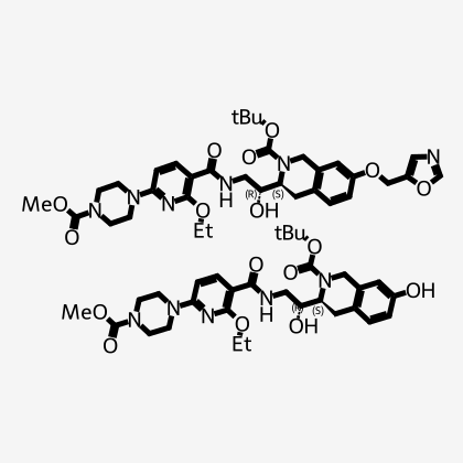 CCOc1nc(N2CCN(C(=O)OC)CC2)ccc1C(=O)NC[C@@H](O)[C@@H]1Cc2ccc(O)cc2CN1C(=O)OC(C)(C)C.CCOc1nc(N2CCN(C(=O)OC)CC2)ccc1C(=O)NC[C@@H](O)[C@@H]1Cc2ccc(OCc3cnco3)cc2CN1C(=O)OC(C)(C)C